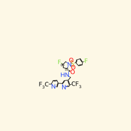 O=C(NCc1cc(-c2ccc(C(F)(F)F)nc2)ncc1C(F)(F)F)[C@@H]1C[C@@H](F)CN1S(=O)(=O)c1ccc(F)cc1